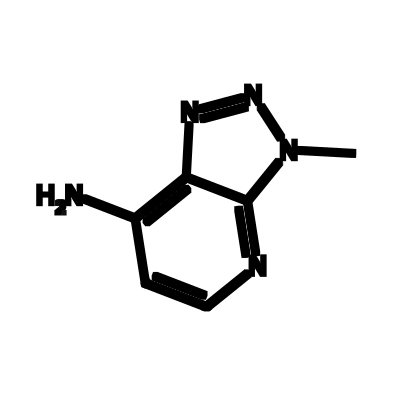 Cn1nnc2c(N)ccnc21